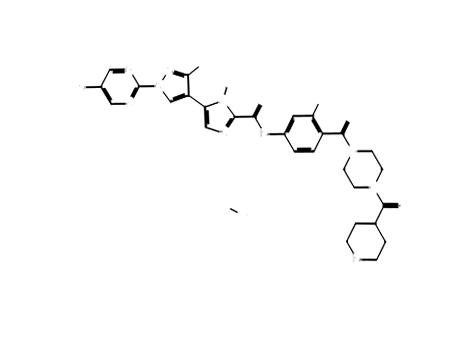 Cn1c(-c2cn(-c3ncc(N)cn3)nc2C(F)(F)F)cnc1C(=O)Nc1ccc(C(=O)N2CCN(C(=O)C3CCNCC3)CC2)c(Cl)c1.O=CO